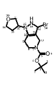 CC(C)(C)OC(=O)N1CCC2=C(C1)C(Br)NN2C1CCOC1